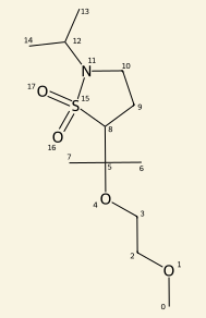 COCCOC(C)(C)C1CCN(C(C)C)S1(=O)=O